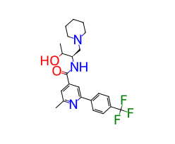 Cc1cc(C(=O)N[C@H](CN2CCCCC2)C(C)O)cc(-c2ccc(C(F)(F)F)cc2)n1